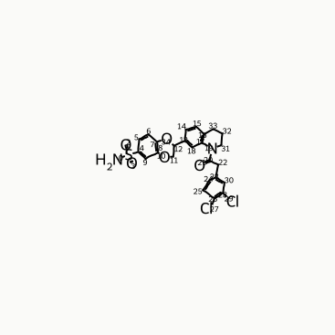 NS(=O)(=O)c1ccc2c(c1)OCC(c1ccc3c(c1)N(C(=O)Cc1ccc(Cl)c(Cl)c1)CCC3)O2